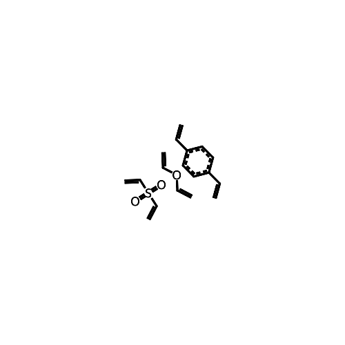 C=COC=C.C=CS(=O)(=O)C=C.C=Cc1ccc(C=C)cc1